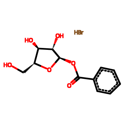 Br.O=C(O[C@H]1O[C@H](CO)[C@@H](O)[C@@H]1O)c1ccccc1